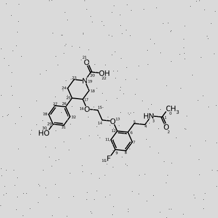 CC(=O)NCCc1ccc(F)cc1OCCOC1CN(C(=O)O)CCC1c1ccc(O)cc1